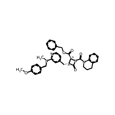 COc1ccc(CN(C)c2cc(C[C@H]3C(=O)N(C(=O)N4CCCc5ccccc54)[C@@H]3C(=O)OCc3ccccc3)ccn2)cc1